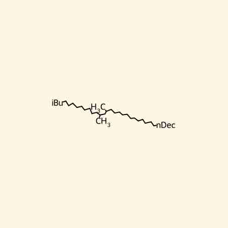 CCCCCCCCCCCCCCCCCCCCCCC(C)CC(C)CCCCCCCCCC(C)CC